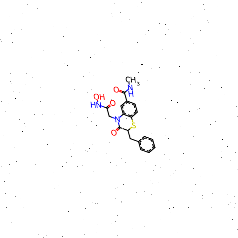 CNC(=O)c1ccc2c(c1)N(CC(=O)NO)C(=O)C(Cc1ccccc1)S2